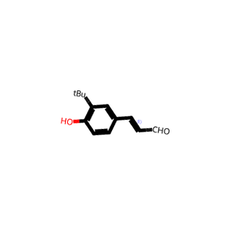 CC(C)(C)c1cc(/C=C/C=O)ccc1O